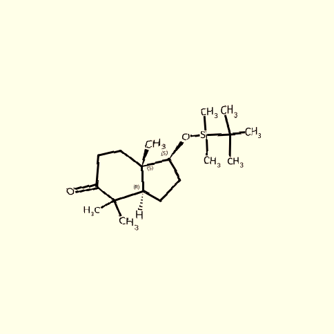 CC1(C)C(=O)CC[C@]2(C)[C@@H](O[Si](C)(C)C(C)(C)C)CC[C@@H]12